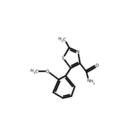 COc1ccccc1-c1sc(C)nc1C(N)=O